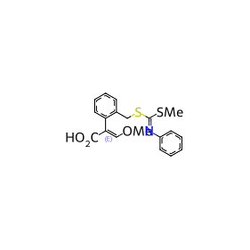 CO/C=C(/C(=O)O)c1ccccc1CSC(=Nc1ccccc1)SC